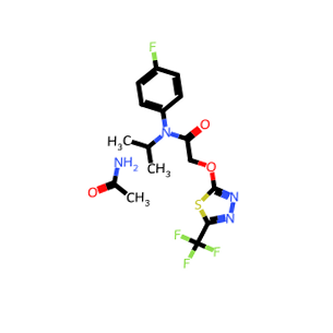 CC(C)N(C(=O)COc1nnc(C(F)(F)F)s1)c1ccc(F)cc1.CC(N)=O